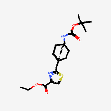 CCOC(=O)c1csc(C23CCC(NC(=O)OC(C)(C)C)(CC2)CC3)n1